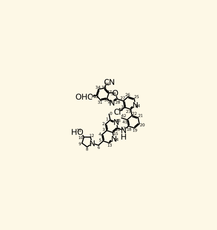 Cc1cc2cc(CN3CCC(O)C3)cnc2c(Nc2cccc(-c3nccc(-c4nc5cc(C=O)cc(C#N)c5o4)c3Cl)c2C)n1